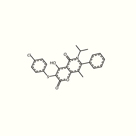 Cc1c(-c2ccccc2)n(C(C)C)c(=O)c2c(O)c(Sc3ccc(Cl)cc3)c(=O)oc12